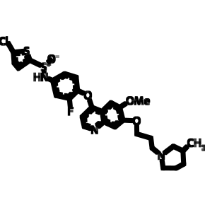 COc1cc2c(Oc3ccc(N[S+]([O-])c4ccc(Cl)s4)cc3F)ccnc2cc1OCCCN1CCCC(C)C1